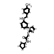 Cc1ccc(CNc2cccc(-n3ccnc3SCC(=O)NC3CCCC3)c2)cc1